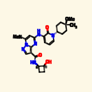 CNc1cc(Nc2cccn([C@H]3CC[C@](C)(OC)CC3)c2=O)nc2c(C(=O)N[C@@H]3CC[C@@H]3O)cnn12